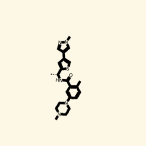 Cc1ccc(N2CCN(C)CC2)cc1C(=O)N[C@H](C)c1cc(-c2cnn(C)c2)cs1